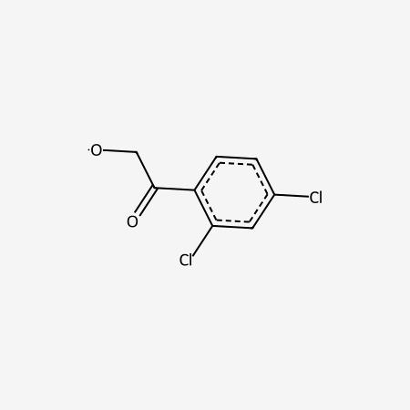 [O]CC(=O)c1ccc(Cl)cc1Cl